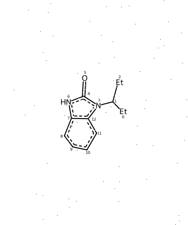 CCC(CC)n1c(=O)[nH]c2ccccc21